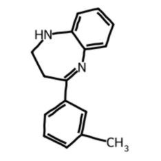 Cc1cccc(C2=Nc3ccccc3NCC2)c1